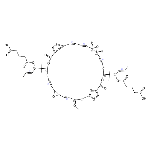 C/C=C/[C@H](OC(=O)CCCC(=O)O)C(C)(C)[C@@H]1C/C=C\C2OC2/C=C/[C@H](OC)Cc2nc(co2)C(=O)O[C@H](C(C)(C)[C@H](/C=C/C)OC(=O)CCCC(=O)O)C/C=C\[C@H]2O[C@H]2/C=C/C=C\c2nc(co2)C(=O)O1